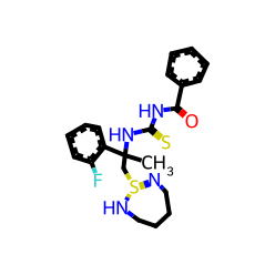 CC(CS1=NCCCCN1)(NC(=S)NC(=O)c1ccccc1)c1ccccc1F